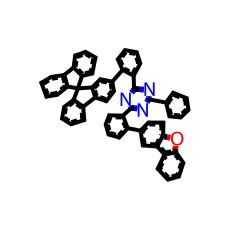 c1ccc(-c2nc(-c3ccccc3-c3ccc4c(c3)C3(c5ccccc5-c5ccccc53)c3ccccc3-4)nc(-c3ccccc3-c3ccc4oc5ccccc5c4c3)n2)cc1